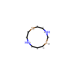 C1CNCCSCCNCSC1